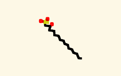 CCCCCCCCCCCCCCC(=O)C[SH](=O)=O